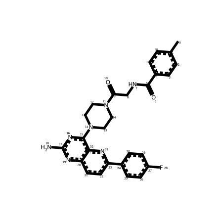 Cc1ccc(C(=O)NCC(=O)N2CCN(c3nc(N)nc4ccc(-c5ccc(F)cc5)nc34)CC2)cc1